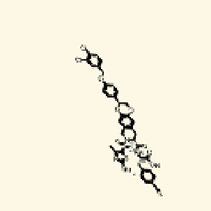 Cc1nc(N)sc1S(=O)(=O)N1Cc2cc3c(cc2C[C@H]1C(=O)N[C@@H](Cc1ccc(C#N)cc1)C(=O)O)OCC(c1ccc(OCc2ccc(Cl)c(Cl)c2)cc1)O3